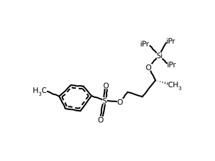 Cc1ccc(S(=O)(=O)OCC[C@@H](C)O[Si](C(C)C)(C(C)C)C(C)C)cc1